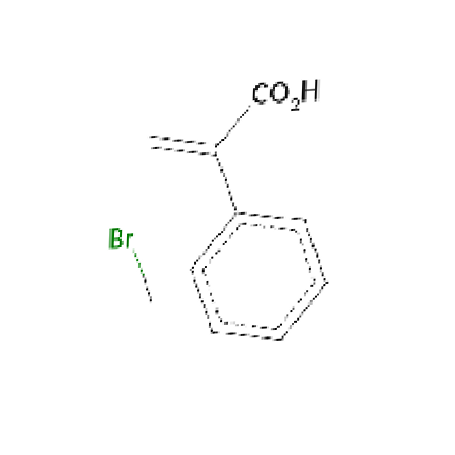 C=C(C(=O)O)c1ccccc1.CBr